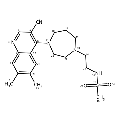 Cc1cc2ncc(C#N)c(N3CCCN(CCNS(C)(=O)=O)CC3)c2cc1C